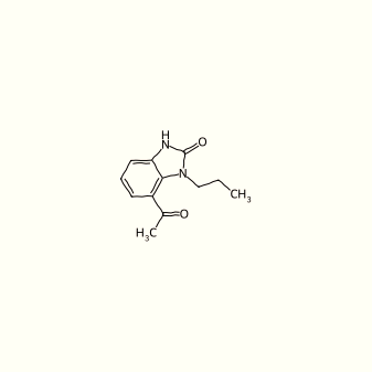 CCCn1c(=O)[nH]c2cccc(C(C)=O)c21